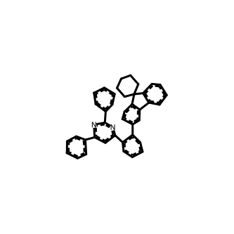 c1ccc(-c2cc(-c3ccccc3-c3ccc4c(c3)-c3ccccc3C43CCCCC3)nc(-c3ccccc3)n2)cc1